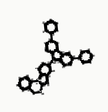 c1ccc(-c2ccc3c(c2)c2cc(-c4ccccc4)ccc2n3-c2ccc3c(c2)nc2n3-c3ccccc3CO2)cc1